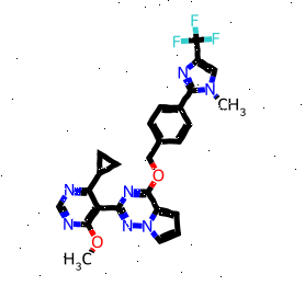 COc1ncnc(C2CC2)c1-c1nc(OCc2ccc(-c3nc(C(F)(F)F)cn3C)cc2)c2cccn2n1